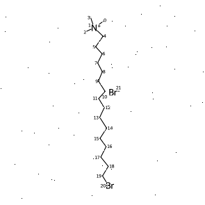 C[N+](C)(C)CCCCCCCCCCCCCCCCBr.[Br-]